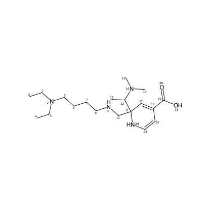 CCN(CC)CCCCNCC1(C(C)N(C)C)C=C(C(=O)O)C=CN1